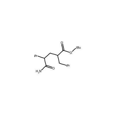 CC(C)CC(CC(C(N)=O)C(C)C)C(=O)OC(C)(C)C